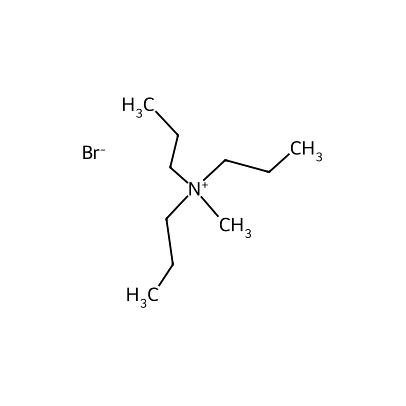 CCC[N+](C)(CCC)CCC.[Br-]